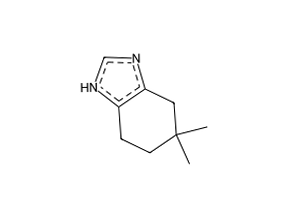 CC1(C)CCc2[nH]cnc2C1